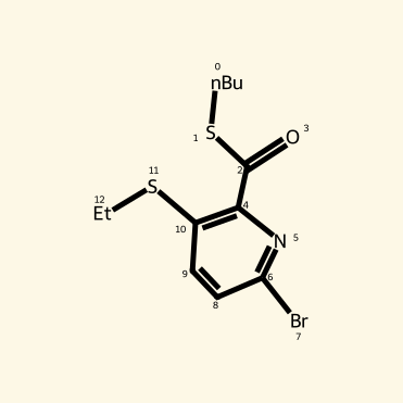 CCCCSC(=O)c1nc(Br)ccc1SCC